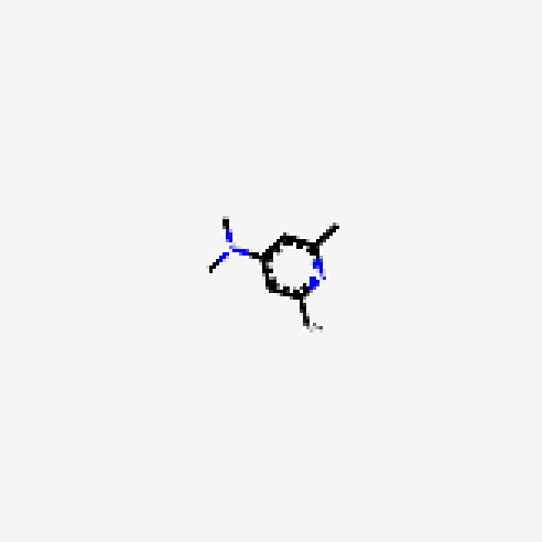 CCCc1cc(N(C)C)cc(C)n1